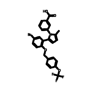 Cc1ccc(-c2cc(Br)ccc2OCc2ccc(OC(F)(F)F)cc2)n1-c1cccc(C(=O)O)c1